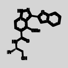 COc1c(C(=O)N[C@H](CO)C(C)C)ccc2[nH]nc(-c3cc4ccccc4o3)c12